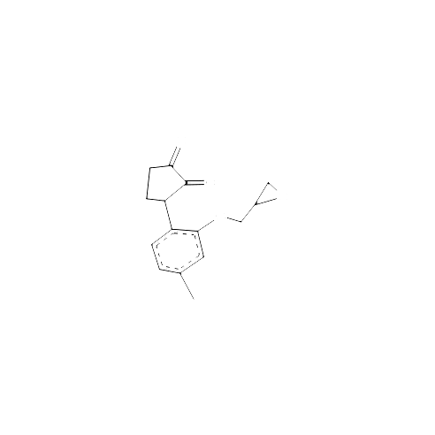 Cc1ccc(C2CCC(=O)C2=O)c(OCC2CO2)c1